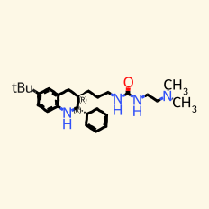 CN(C)CCNC(=O)NCCC[C@@H]1Cc2cc(C(C)(C)C)ccc2N[C@H]1C1C=CC=CC1